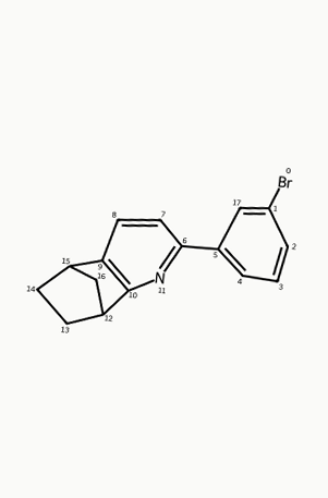 Brc1cccc(-c2ccc3c(n2)C2CCC3C2)c1